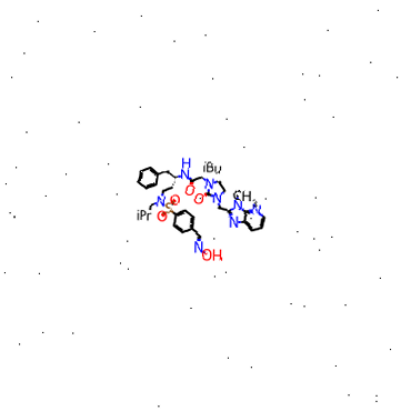 CC[C@H](C)[C@H](C(=O)N[C@H](CCN(CC(C)C)S(=O)(=O)c1ccc(/C=N/O)cc1)Cc1ccccc1)N1CCN(Cc2nc3cccnc3n2C)C1=O